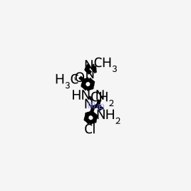 C=C(/N=C(\C(C#N)=C/N)c1ccc(Cl)cc1)Nc1ccc(-n2cnc(C)c2)c(OC)c1